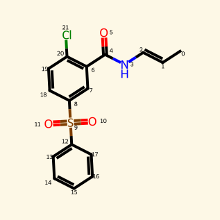 C/C=C/NC(=O)c1cc(S(=O)(=O)c2ccccc2)ccc1Cl